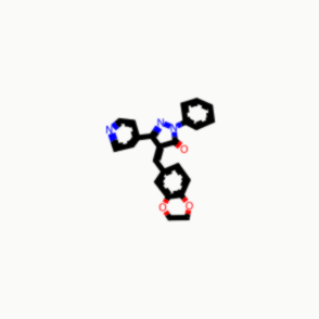 O=C1/C(=C\c2ccc3c(c2)OCCO3)C(c2ccncc2)=NN1c1ccccc1